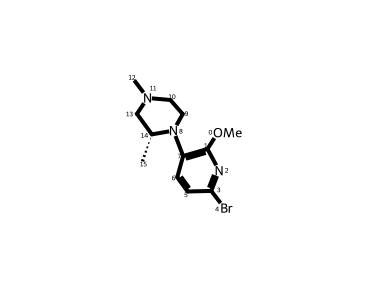 COc1nc(Br)ccc1N1CCN(C)C[C@H]1C